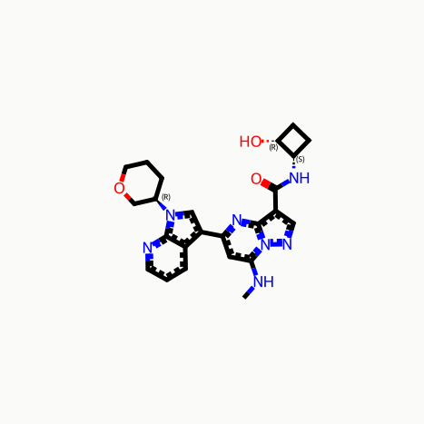 CNc1cc(-c2cn([C@@H]3CCCOC3)c3ncccc23)nc2c(C(=O)N[C@H]3CC[C@H]3O)cnn12